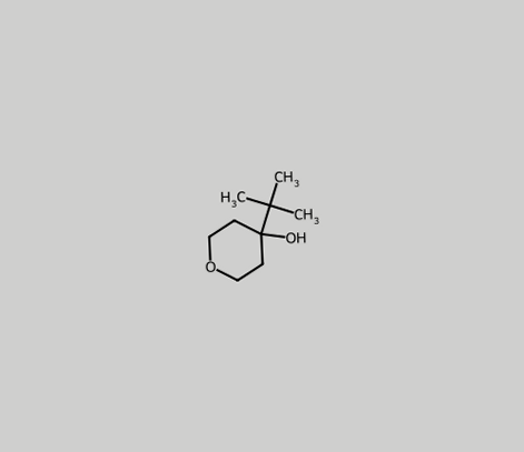 CC(C)(C)C1(O)CCOCC1